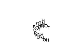 O=C(Nc1cc(Oc2cc(F)c(NC(=O)C3(C(=O)Nc4ccc(F)cc4)CC3)cc2F)ccn1)N1CCC(O)C1